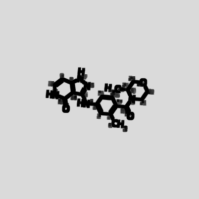 Cc1cc(Nc2n[nH]c3cc[nH]c(=O)c23)ccc1C(=O)N1CCOC[C@@H]1C